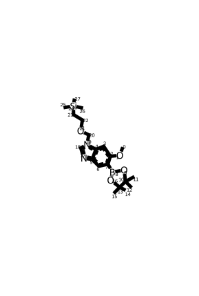 COc1cc2c(cc1B1OC(C)(C)C(C)(C)O1)ncn2COCC[Si](C)(C)C